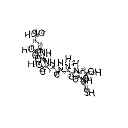 N[C@@H](CNC(=O)CCC(NC(=O)N[C@@H](CCC(=O)O)C(=O)O)C(=O)O)C(=O)N[C@@H](CC(=O)O)C(=O)NCCS